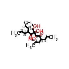 CCCC(CCC)C(=O)C(O)C(O)(CO)C(=O)C(CCC)CCC